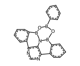 c1ccc(B2OB3c4ccccc4-c4ncnc5c4N3B(O2)c2ccccc2-5)cc1